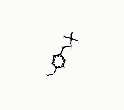 CSc1ccc(COC(C)(C)C)cc1